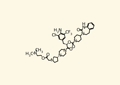 CN(C)CCOC(=O)CN1CC[C@@H](N2CCN(C(=O)[C@@H](Cc3cc(Cl)c(N)c(C(F)(F)F)c3)OC(=O)N3CCC(N4CCc5ccccc5NC4=O)CC3)CC2)C1